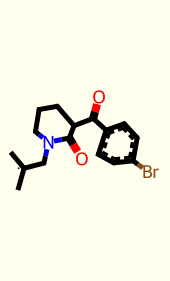 C[C](C)CN1CCCC(C(=O)c2ccc(Br)cc2)C1=O